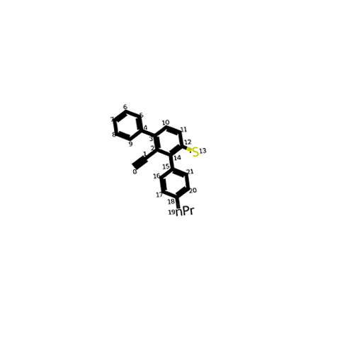 C#Cc1c(-c2ccccc2)ccc([S])c1-c1ccc(CCC)cc1